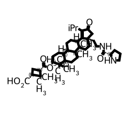 CC(C)C1=C2[C@H]3CC[C@@H]4[C@@]5(C)CC[C@H](OC(=O)[C@H]6C[C@@H](C(=O)O)C6(C)C)C(C)(C)[C@@H]5CC[C@@]4(C)[C@]3(C)CC[C@@]2(CCNC(=O)[C@@H]2CCCN2)CC1=O